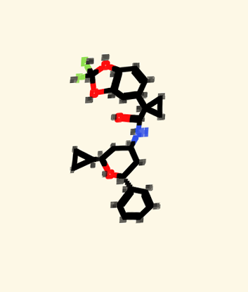 O=C(N[C@@H]1C[C@@H](C2CC2)O[C@@H](c2ccccc2)C1)C1(c2ccc3c(c2)OC(F)(F)O3)CC1